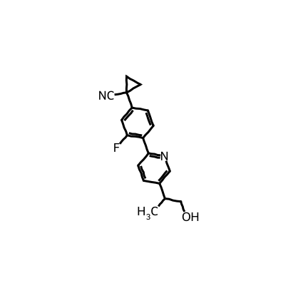 CC(CO)c1ccc(-c2ccc(C3(C#N)CC3)cc2F)nc1